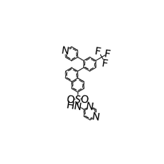 O=S(=O)(Nc1ccncn1)c1ccc2c(-c3ccc(C(F)(F)F)cc3-c3ccncc3)cccc2c1